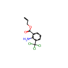 C=CCOC(=O)c1cccc(C(Cl)(Cl)Cl)c1N